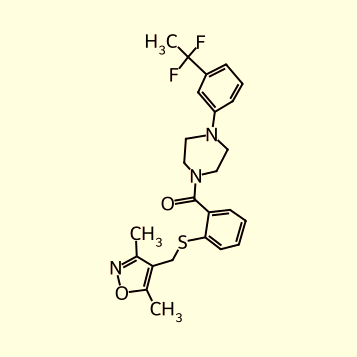 Cc1noc(C)c1CSc1ccccc1C(=O)N1CCN(c2cccc(C(C)(F)F)c2)CC1